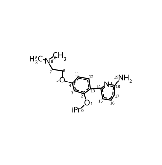 CC(C)Oc1cc(OCCN(C)C)ccc1-c1cccc(N)n1